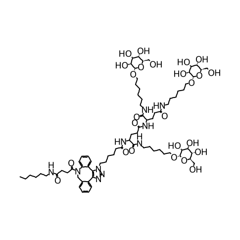 CCCCCCNC(=O)CCC(=O)N1Cc2ccccc2-c2nnn(CCCCCC(=O)NC(CCC(=O)NC(CCC(=O)NCCCCCCO[C@H]3O[C@H](CO)[C@@H](O)[C@H](O)[C@@H]3O)C(=O)NCCCCCCO[C@H]3O[C@H](CO)[C@@H](O)[C@H](O)[C@@H]3O)C(=O)NCCCCCCO[C@H]3O[C@H](CO)[C@@H](O)[C@H](O)[C@@H]3O)c2-c2ccccc21